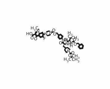 CCn1cc(C(=O)O)c(=O)c2cc(F)c(N3CCN(C(=O)OCc4ccc(NC(=O)[C@H](CC5CCN(C(=O)OC(C)(C)C)CC5)NC(=O)C(NC(=O)OCc5ccccc5)C(C)C)cc4)CC3)cc21